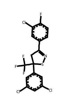 Fc1ccc(C2=NSC(c3cc(Cl)cc(Cl)c3)(C(F)(F)F)C2)cc1Cl